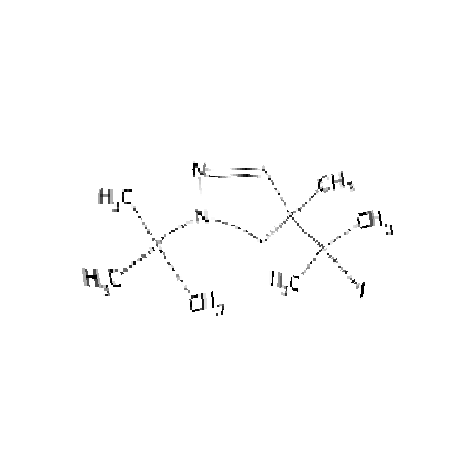 CC(C)(C)N1CC(C)(C(C)(C)I)C=N1